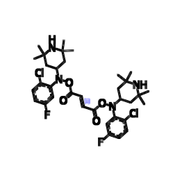 CC1(C)CC(N(OC(=O)/C=C/C(=O)ON(c2cc(F)ccc2Cl)C2CC(C)(C)NC(C)(C)C2)c2cc(F)ccc2Cl)CC(C)(C)N1